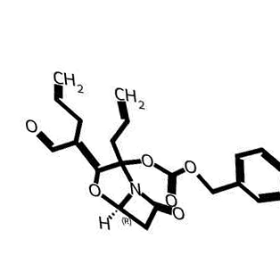 C=CCC(C=O)=C1O[C@@H]2CC(=O)N2C1(CC=C)OC(=O)OCc1ccccc1